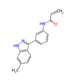 C=CC(=O)Nc1cccc(-c2n[nH]c3cc(C)ccc23)c1